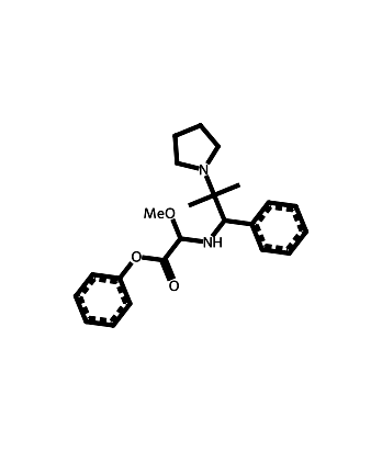 COC(NC(c1ccccc1)C(C)(C)N1CCCC1)C(=O)Oc1ccccc1